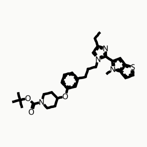 CCc1cn(CCCc2cccc(OC3CCN(C(=O)OC(C)(C)C)CC3)c2)c(-c2cc3sccc3n2C)n1